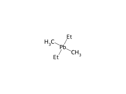 C[CH2][Pb]([CH3])([CH3])[CH2]C